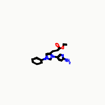 CCOC(=O)CCC1=CN(C2CCCCC2)CN1c1ccc(N)nc1